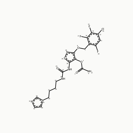 NC(=O)Oc1c(OCc2c(F)cc(Cl)c(F)c2F)nsc1NC(=O)NCCCCn1ccnc1